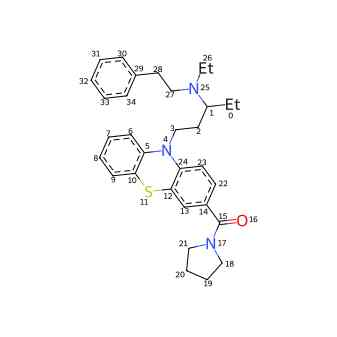 CCC(CCN1c2ccccc2Sc2cc(C(=O)N3CCCC3)ccc21)N(CC)CCc1ccccc1